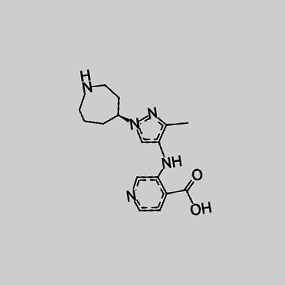 Cc1nn([C@H]2CCCNCC2)cc1Nc1cnccc1C(=O)O